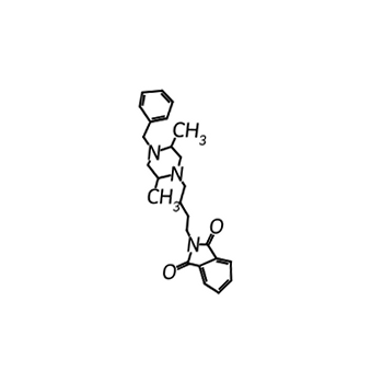 CC1CN(Cc2ccccc2)C(C)CN1CCCCN1C(=O)c2ccccc2C1=O